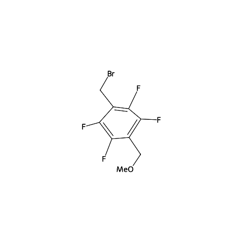 COCc1c(F)c(F)c(CBr)c(F)c1F